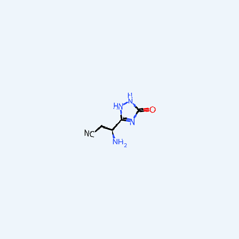 N#CC[C@H](N)c1nc(=O)[nH][nH]1